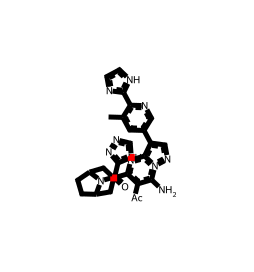 CC(=O)c1c(C2CC3CCC(C2)N3C(=O)c2nnc[nH]2)nc2c(-c3cnc(-c4ncc[nH]4)c(C)c3)cnn2c1N